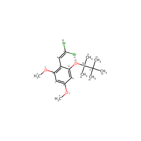 COc1cc(OC)c(C=C(Br)Br)c(O[Si](C)(C)C(C)(C)C)c1